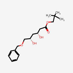 CC(C)(C)COC(=O)C[C@H](O)C[C@H](O)COCc1ccccc1